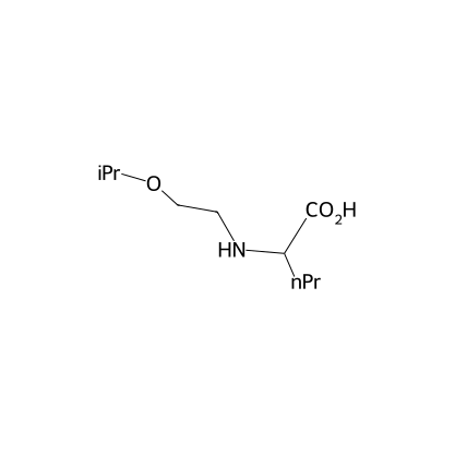 CCCC(NCCOC(C)C)C(=O)O